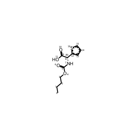 CCCCOC(=O)N[C@H](C(=O)O)c1cccs1